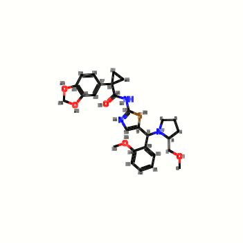 COCC1CCCN1C(c1cnc(NC(=O)C2(c3ccc4c(c3)OCO4)CC2)s1)c1ccccc1OC